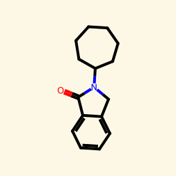 O=C1c2ccccc2CN1C1CCCCCC1